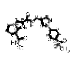 CCNC(=O)c1cccn2cc(C(=O)NCc3cnn(C4C=CC(S(C)(=O)=O)=CC4)c3)nc12